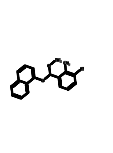 COC(Oc1cccc2ccccc12)c1cccc(Cl)c1C